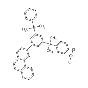 C[Si](C)(c1ccccc1)c1cc(-c2ccc3ccc4cccnc4c3n2)cc([Si](C)(C)c2ccccc2)c1.[Cl][Co][Cl]